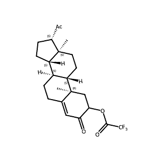 CC(=O)[C@H]1CC[C@H]2[C@@H]3CCC4=CC(=O)C(OC(=O)C(F)(F)F)C[C@]4(C)[C@H]3CC[C@]12C